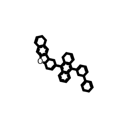 C1=CC(C2=CCCC=C2)CC(c2c3c(c(C4=CCC5Oc6cc7c(cc6C5C4)CCC=C7)c4ccccc24)CCC=C3)=C1